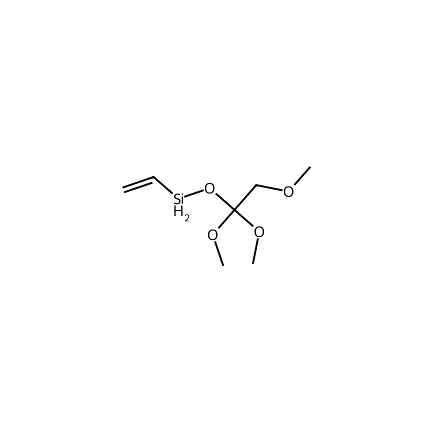 C=C[SiH2]OC(COC)(OC)OC